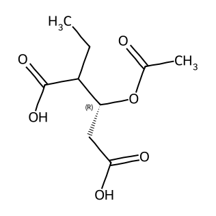 CCC(C(=O)O)[C@@H](CC(=O)O)OC(C)=O